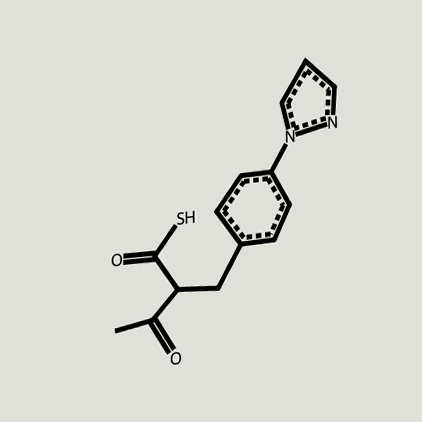 CC(=O)C(Cc1ccc(-n2cccn2)cc1)C(=O)S